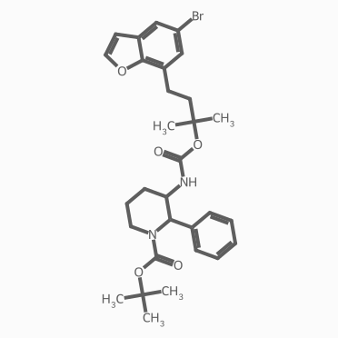 CC(C)(C)OC(=O)N1CCCC(NC(=O)OC(C)(C)CCc2cc(Br)cc3ccoc23)C1c1ccccc1